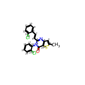 Cc1cc2nc(C=Cc3ccccc3Cl)n(-c3ccccc3Cl)c(=O)c2s1